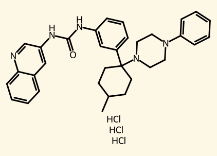 CC1CCC(c2cccc(NC(=O)Nc3cnc4ccccc4c3)c2)(N2CCN(c3ccccc3)CC2)CC1.Cl.Cl.Cl